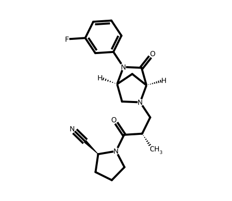 C[C@@H](CN1C[C@@H]2C[C@H]1C(=O)N2c1cccc(F)c1)C(=O)N1CCC[C@H]1C#N